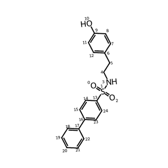 O=S(=O)(NCCc1ccc(O)cc1)c1ccc(-c2ccccc2)cc1